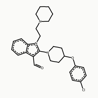 O=Cc1c(N2CCC(Oc3ccc(Cl)cc3)CC2)n(CCN2CCCCC2)c2ccccc12